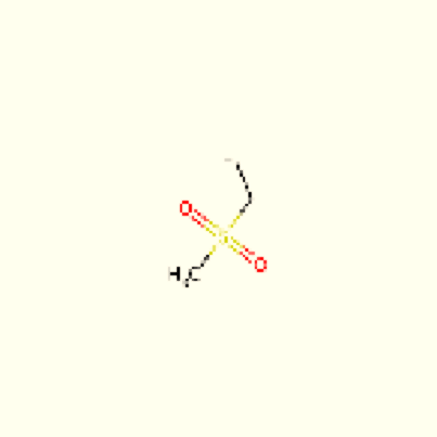 [Li][CH2]S(C)(=O)=O